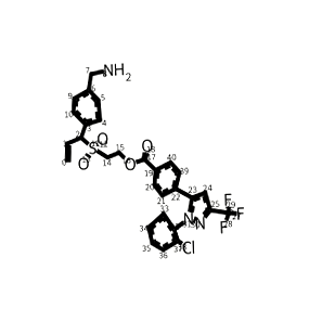 C=CC(c1ccc(CN)cc1)S(=O)(=O)CCOC(=O)c1ccc(-c2cc(C(F)(F)F)nn2-c2ccccc2Cl)cc1